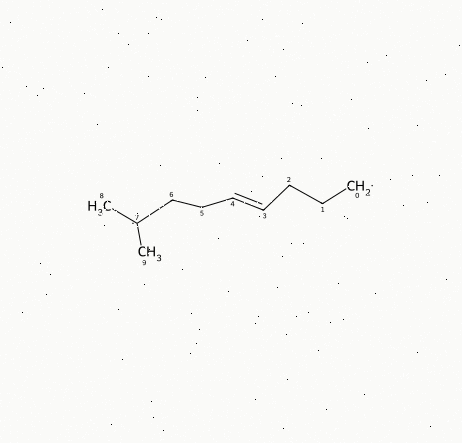 [CH2]CCC=CCC[C](C)C